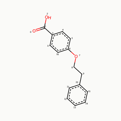 O=C(O)c1ccc(OCCc2ccccc2)cc1